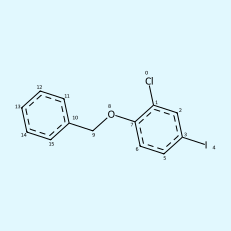 Clc1cc(I)ccc1OCc1ccccc1